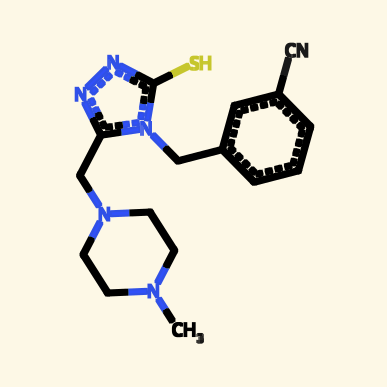 CN1CCN(Cc2nnc(S)n2Cc2cccc(C#N)c2)CC1